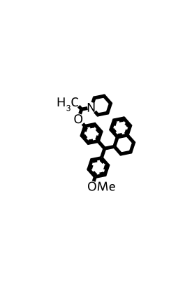 COc1ccc(C(c2ccc(OC(C)N3CCCCC3)cc2)C2CCCc3ccccc32)cc1